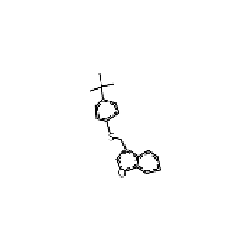 CC(C)(C)c1ccc(SCc2coc3ccccc23)cc1